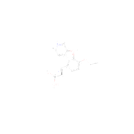 CCOc1ccc(/C=C/C(=O)O)c2c1oc1cnccc12